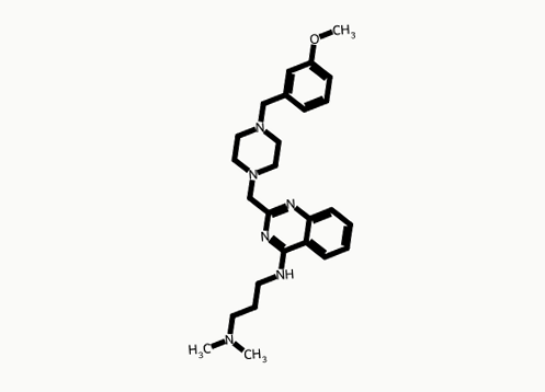 COc1cccc(CN2CCN(Cc3nc(NCCCN(C)C)c4ccccc4n3)CC2)c1